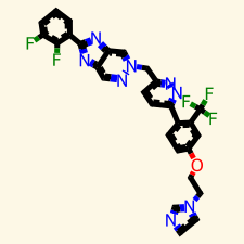 Fc1cccc(-c2nc3cnn(Cc4ccc(-c5ccc(OCCn6ccnc6)cc5C(F)(F)F)nn4)cc-3n2)c1F